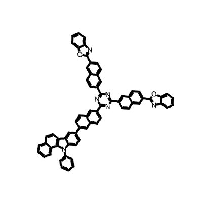 c1ccc(-n2c3ccc(-c4ccc5cc(-c6nc(-c7ccc8cc(-c9nc%10ccccc%10o9)ccc8c7)nc(-c7ccc8cc(-c9nc%10ccccc%10o9)ccc8c7)n6)ccc5c4)cc3c3ccc4ccccc4c32)cc1